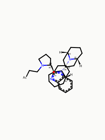 CC(=O)CCN1CCC[C@@H]1c1nc2ccccc2n1[C@H]1C[C@H]2CCC[C@@H](C1)N2[C@@H]1C[C@@H]2CCCC[C@@H](C2)C1